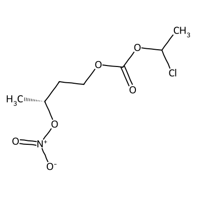 CC(Cl)OC(=O)OCC[C@@H](C)O[N+](=O)[O-]